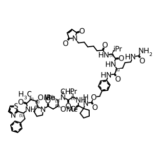 CC[C@H](C)[C@@H]([C@@H](CC(=O)N1CCC[C@H]1[C@H](OC)[C@@H](C)C(=O)N[C@@H](Cc1ccccc1)c1nccs1)OC)N(C)C(=O)[C@@H](NC(=O)C1(NC(=O)OCc2ccc(NC(=O)[C@H](CCCNC(N)=O)NC(=O)[C@@H](NC(=O)CCCCCN3C(=O)C=CC3=O)C(C)C)cc2)CCCC1)C(C)C